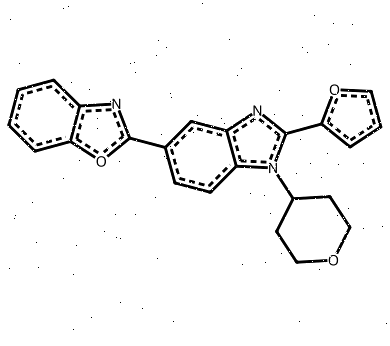 c1coc(-c2nc3cc(-c4nc5ccccc5o4)ccc3n2C2CCOCC2)c1